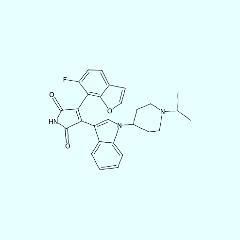 CC(C)N1CCC(n2cc(C3=C(c4c(F)ccc5ccoc45)C(=O)NC3=O)c3ccccc32)CC1